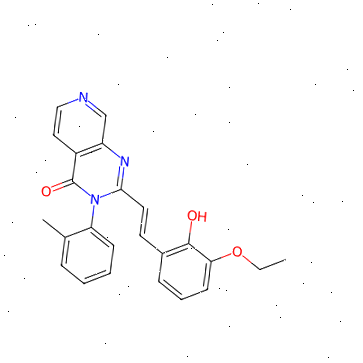 CCOc1cccc(/C=C/c2nc3cnccc3c(=O)n2-c2ccccc2C)c1O